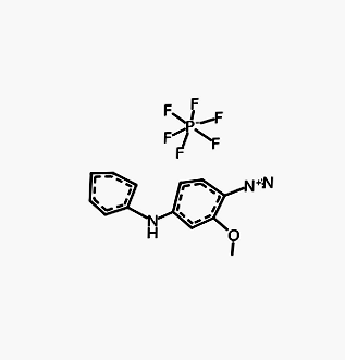 COc1cc(Nc2ccccc2)ccc1[N+]#N.F[P-](F)(F)(F)(F)F